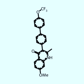 COc1ccc2c(=O)c(-c3ccc(-c4ccc(OC(F)(F)F)cc4)cc3)c(C)[nH]c2c1